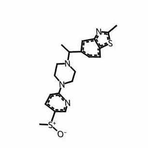 Cc1nc2cc(C(C)N3CCN(c4ccc([S+](C)[O-])cn4)CC3)ccc2s1